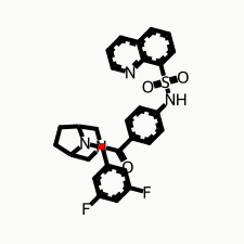 O=C(c1ccc(NS(=O)(=O)c2cccc3cccnc23)cc1)N1CC2CCC(C1)N2Cc1cc(F)cc(F)c1